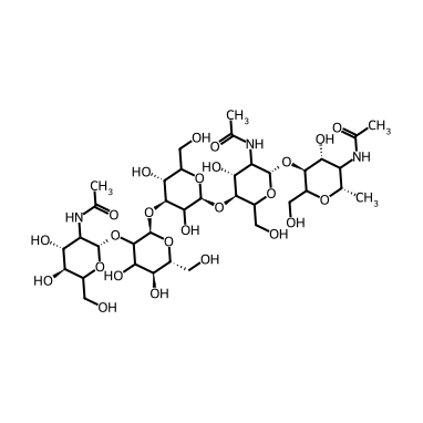 CC(=O)NC1[C@H](OC2C(O)[C@H](O)[C@@H](CO)O[C@@H]2O[C@@H]2C(O)[C@H](O[C@@H]3C(CO)O[C@@H](O[C@@H]4C(CO)O[C@@H](C)C(NC(C)=O)[C@H]4O)C(NC(C)=O)[C@H]3O)OC(CO)[C@H]2O)OC(CO)[C@@H](O)[C@@H]1O